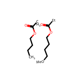 CCC(=O)OCCCCOC.CCCCOC(C)=O